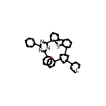 c1ccc(-c2cc(-c3ccccc3)cc(-c3cccc4c3sc3c(-c5nc(-c6ccccc6)nc(-c6ccccc6)n5)cccc34)c2)cc1